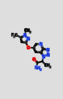 CC(C(N)=O)n1nnc2ncc(Oc3cc(C(F)(F)F)n(C)n3)cc21